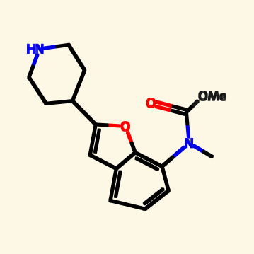 COC(=O)N(C)c1cccc2cc(C3CCNCC3)oc12